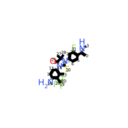 C=C(NC)c1ccc(N2C(=S)N(c3ccc(N)c(C(F)(F)F)c3C)C(=O)C2(C)C)cc1F